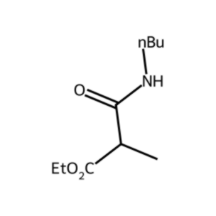 CCCCNC(=O)C(C)C(=O)OCC